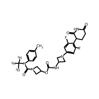 [2H]C([2H])([2H])N(C(=O)N1CC(OC(=O)NC2CN(c3cc(F)c(C4CCC(=O)NC4=O)c(F)c3)C2)C1)c1ccc(C)cc1